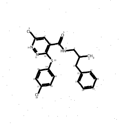 CC(CNC(=O)c1cc(Cl)nnc1Sc1ccc(Cl)cc1)Cc1ccccc1